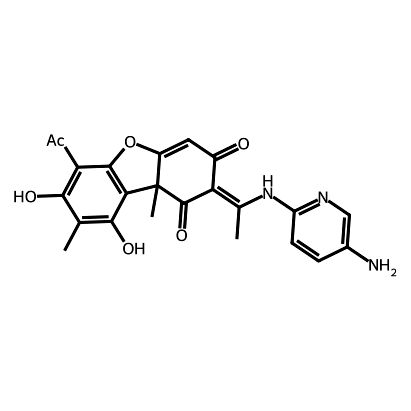 CC(=O)c1c(O)c(C)c(O)c2c1OC1=CC(=O)C(=C(C)Nc3ccc(N)cn3)C(=O)C12C